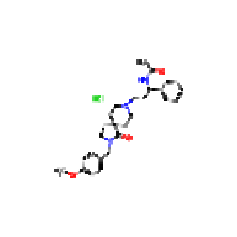 COc1ccc(CN2CCC3(CCN(CCC(NC(C)=O)c4ccccc4)CC3)C2=O)cc1.Cl